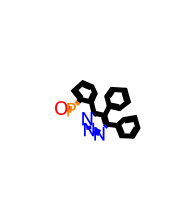 O=Pc1ccccc1-c1nnnc(-c2ccccc2)c1-c1ccccc1